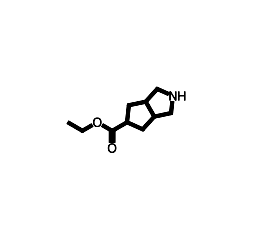 CCOC(=O)C1CC2CNCC2C1